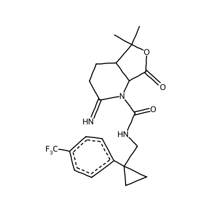 CC1(C)OC(=O)C2C1CCC(=N)N2C(=O)NCC1(c2ccc(C(F)(F)F)cc2)CC1